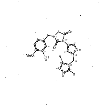 COc1ccc(CN2CC(=O)N(c3cnn(Cc4c(C)noc4C)c3)C2=O)cc1O